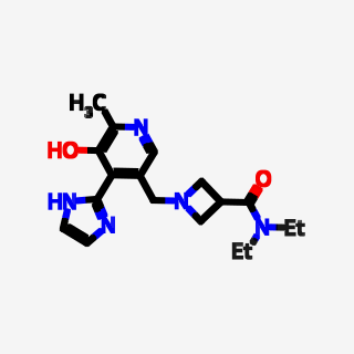 CCN(CC)C(=O)C1CN(Cc2cnc(C)c(O)c2-c2ncc[nH]2)C1